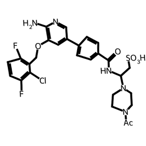 CC(=O)N1CCN(C(CS(=O)(=O)O)NC(=O)c2ccc(-c3cnc(N)c(OCc4c(F)ccc(F)c4Cl)c3)cc2)CC1